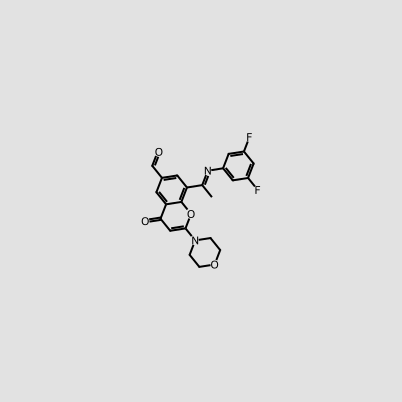 C/C(=N\c1cc(F)cc(F)c1)c1cc(C=O)cc2c(=O)cc(N3CCOCC3)oc12